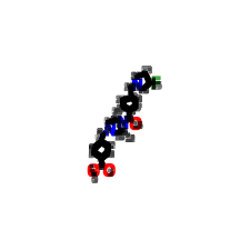 COC(=O)c1ccc(CN2C[C@@H](C)N(C(=O)c3ccc(CN4CC[C@@H](F)C4)cc3)[C@@H](C)C2)cc1